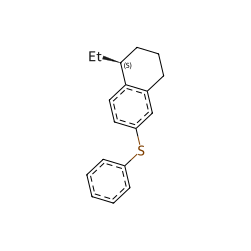 CC[C@H]1CCCc2cc(Sc3ccccc3)ccc21